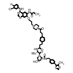 C=CC(=O)Nc1cc2c(Nc3ccc(F)c(Cl)c3)ncnc2cc1OCCCN1CCN(C(=O)CCc2ccc(CCC(=O)N[C@H](C(=O)N3C[C@H](O)C[C@H]3C(=O)NCc3ccc(-c4scnc4C)cc3)C(C)(C)C)cc2)CC1